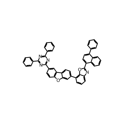 c1ccc(-c2nc(-c3ccccc3)nc(-c3ccc4oc5cc(-c6cccc7nc(-c8ccc(-c9ccccc9)c9ccccc89)oc67)ccc5c4c3)n2)cc1